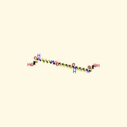 O=C(NCSCSCSC/N=C/OOCSCSCSCSC(=O)NCSCSCSC/N=C\[S+]([O-])CCO)SCCO